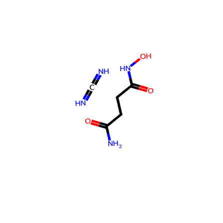 N=C=N.NC(=O)CCC(=O)NO